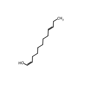 CCC=CCCCCCC/C=C\O